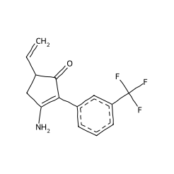 C=CC1CC(N)=C(c2cccc(C(F)(F)F)c2)C1=O